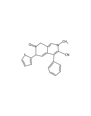 CN1C=C2CC(=O)C(c3cccs3)C=C2C(c2ccccc2)=C1C#N